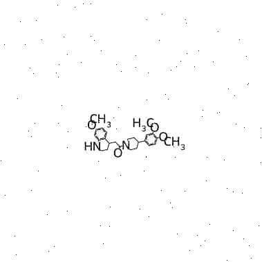 COc1ccc2c(c1)NCCC2CC(=O)N1CCC(c2ccc(OC)c(OC)c2)CC1